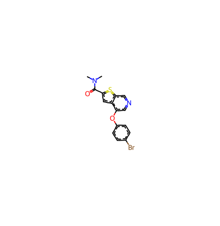 CN(C)C(=O)c1cc2c(Oc3ccc(Br)cc3)cncc2s1